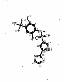 O=S(=O)(Nc1cc(F)c(C(F)(F)F)cc1F)c1c[nH]c(-c2nccs2)c1